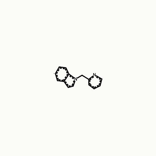 [c]1ccc2c(c1)ccn2Cc1ccccn1